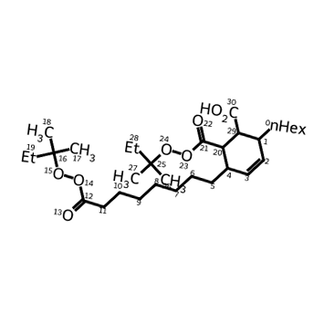 CCCCCCC1C=CC(CCCCCCCC(=O)OOC(C)(C)CC)C(C(=O)OOC(C)(C)CC)C1C(=O)O